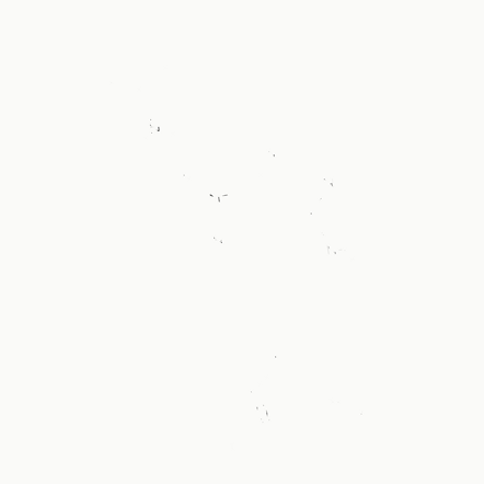 C=CC(=O)N1CCC(n2nc(C#Cc3cc(F)cc(OC)c3)c3c(N)ncnc32)C1